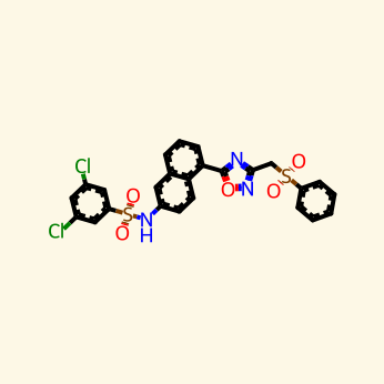 O=S(=O)(Cc1noc(-c2cccc3cc(NS(=O)(=O)c4cc(Cl)cc(Cl)c4)ccc23)n1)c1ccccc1